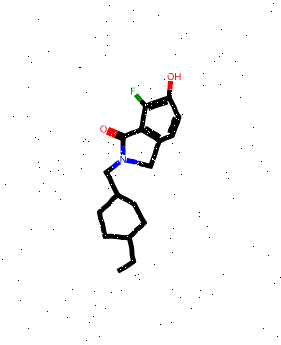 CCC1CCC(CN2Cc3ccc(O)c(F)c3C2=O)CC1